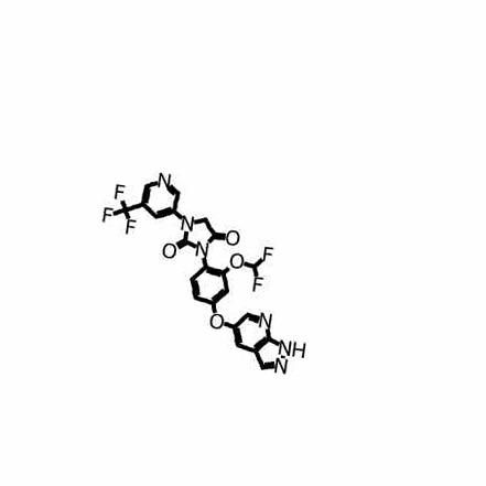 O=C1CN(c2cncc(C(F)(F)F)c2)C(=O)N1c1ccc(Oc2cnc3[nH]ncc3c2)cc1OC(F)F